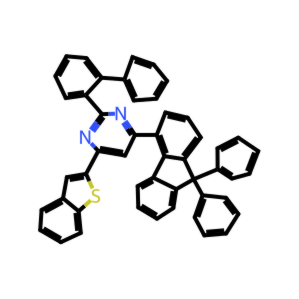 c1ccc(-c2ccccc2-c2nc(-c3cc4ccccc4s3)cc(-c3cccc4c3-c3ccccc3C4(c3ccccc3)c3ccccc3)n2)cc1